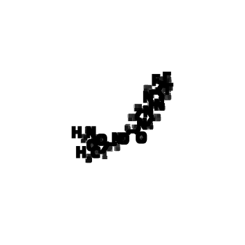 CCC(C=NOCC(=O)N1CCN(c2ncc(C(F)(F)F)cn2)CC1)OC(N)=O